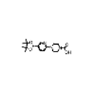 CC1(C)OB(c2ccc(N3CCN(C(=O)O)CC3)nc2)OC1(C)C